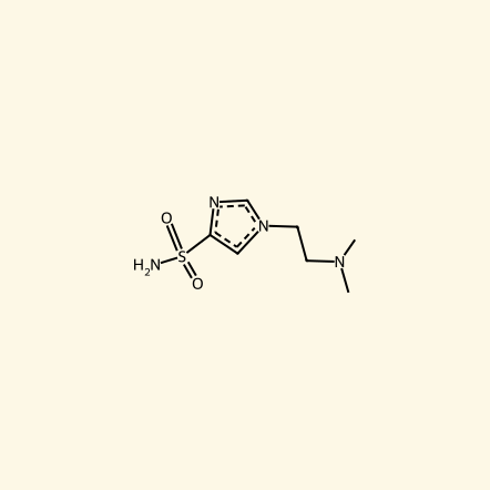 CN(C)CCn1cnc(S(N)(=O)=O)c1